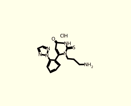 Cl.NCCCn1c(-c2ccccc2-n2nccn2)cc(=O)[nH]c1=S